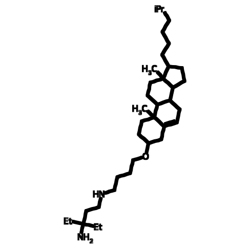 CCC(N)(CC)CCNCCCCOC1CCC2(C)C(=CCC3C2CCC2(C)C(CCCCC(C)C)CCC32)C1